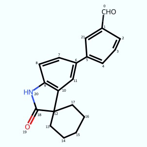 O=Cc1cccc(-c2ccc3c(c2)C2(CCCCC2)C(=O)N3)c1